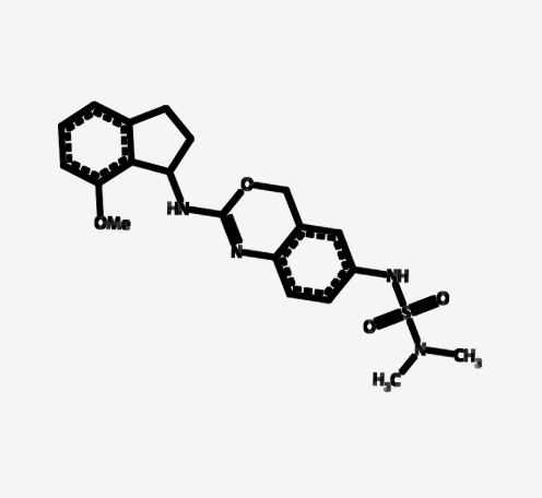 COc1cccc2c1C(NC1=Nc3ccc(NS(=O)(=O)N(C)C)cc3CO1)CC2